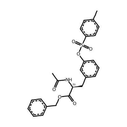 CC(=O)N[C@@H](Cc1cccc(OS(=O)(=O)c2ccc(C)cc2)c1)C(=O)OCc1ccccc1